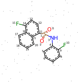 O=S(=O)(Nc1ccccc1F)c1ccc(F)c2ccccc12